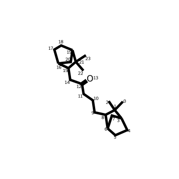 CC1(C)C2CCC(C2)C1CCCC(=O)CC1C2CCC(C2)C1(C)C